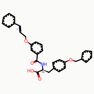 O=C(N[C@@H](Cc1ccc(OCc2ccccc2)cc1)C(=O)O)c1cccc(OC/C=C/c2ccccc2)c1